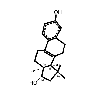 C[C@@]12C[C@H](O)[C@@]3(C)CCC4=C(CCc5cc(O)ccc54)[C@@]13C2